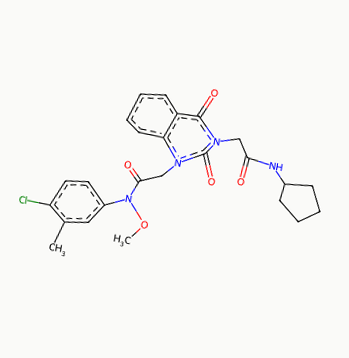 CON(C(=O)Cn1c(=O)n(CC(=O)NC2CCCC2)c(=O)c2ccccc21)c1ccc(Cl)c(C)c1